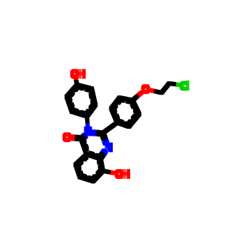 O=c1c2cccc(O)c2nc(-c2ccc(OCCCl)cc2)n1-c1ccc(O)cc1